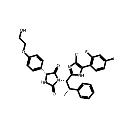 C[C@@H](c1ccccc1)[C@@H](c1nc(Cl)c(-c2ccc(I)cc2F)[nH]1)N1C(=O)N[C@H](c2ccc(OCCO)cc2)C1=O